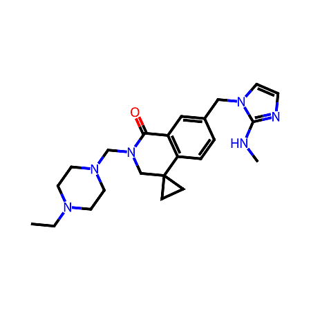 CCN1CCN(CN2CC3(CC3)c3ccc(Cn4ccnc4NC)cc3C2=O)CC1